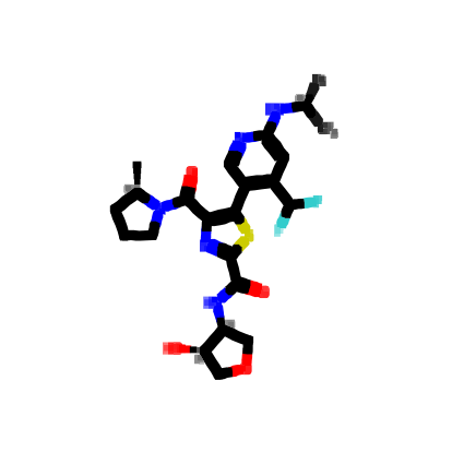 CC[C@H](Nc1cc(C(F)F)c(-c2sc(C(=O)N[C@H]3COC[C@@H]3O)nc2C(=O)N2CCC[C@@H]2C)cn1)C(F)(F)F